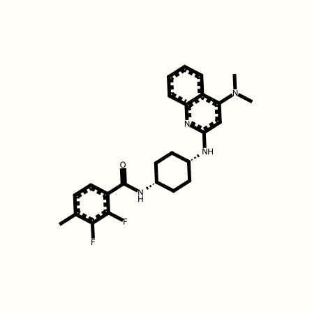 Cc1ccc(C(=O)N[C@H]2CC[C@@H](Nc3cc(N(C)C)c4ccccc4n3)CC2)c(F)c1F